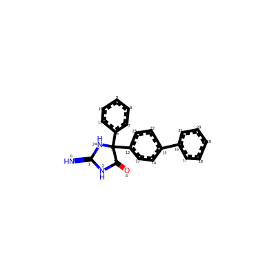 N=C1NC(=O)C(c2ccccc2)(c2ccc(-c3ccccc3)cc2)N1